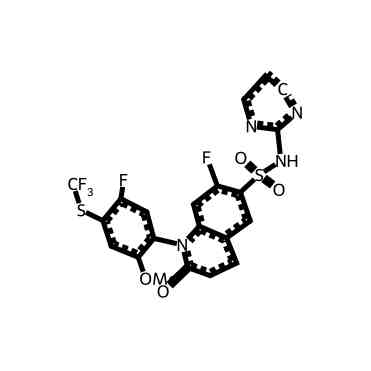 COc1cc(SC(F)(F)F)c(F)cc1-n1c(=O)ccc2cc(S(=O)(=O)Nc3ncccn3)c(F)cc21